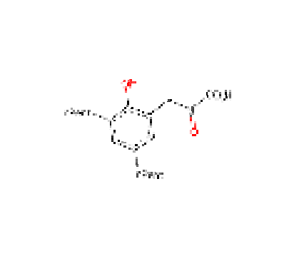 CCCCCc1cc(CCCCC)c(O)c(CC(=O)C(=O)O)c1